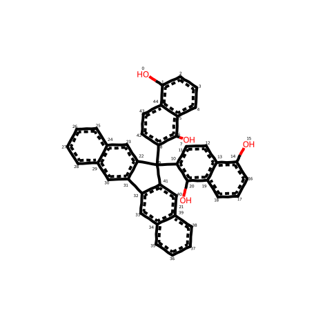 Oc1cccc2c(O)c(C3(c4ccc5c(O)cccc5c4O)c4cc5ccccc5cc4-c4cc5ccccc5cc43)ccc12